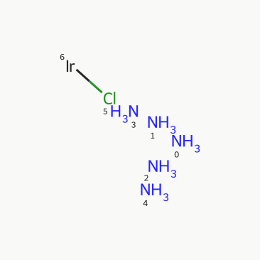 N.N.N.N.N.[Cl][Ir]